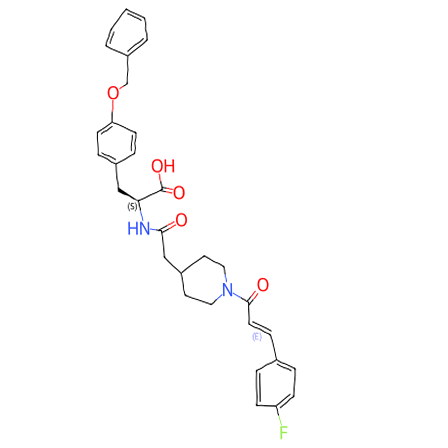 O=C(CC1CCN(C(=O)/C=C/c2ccc(F)cc2)CC1)N[C@@H](Cc1ccc(OCc2ccccc2)cc1)C(=O)O